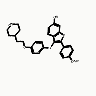 COc1ccc(-c2sc3cc(O)ccc3c2Oc2ccc(OCCC3CCNCC3)cc2)cc1